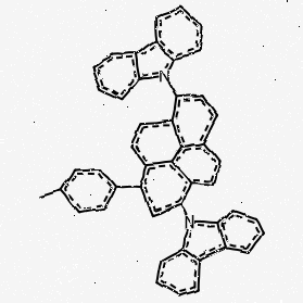 Cc1ccc(-c2cc(-n3c4ccccc4c4ccccc43)c3ccc4ccc(-n5c6ccccc6c6ccccc65)c5ccc2c3c45)cc1